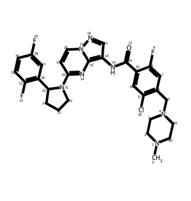 CN1CCN(Cc2cc(F)c(C(=O)Nc3cnn4ccc(N5CCCC5c5cc(F)ccc5F)nc34)cc2Cl)CC1